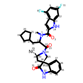 CN(C(=O)c1cc2c(F)cc(F)cc2[nH]1)C(CC1CCCC1)C(=O)N1C[C@]2(C[C@H]1C#N)C(=O)Nc1ccccc12